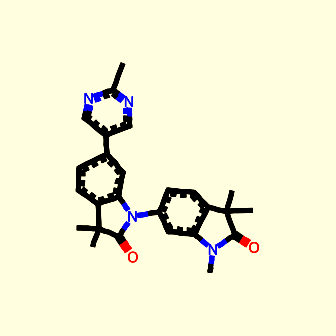 Cc1ncc(-c2ccc3c(c2)N(c2ccc4c(c2)N(C)C(=O)C4(C)C)C(=O)C3(C)C)cn1